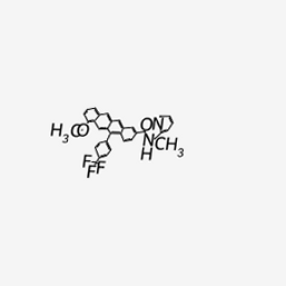 COc1cccc2cc3cc4cc(C(=O)N[C@H](C)c5ccccn5)ccc4c(-c4ccc(C(F)(F)F)cc4)c3cc12